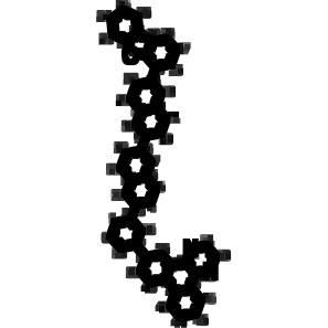 c1cc(-c2ccc3cc(-c4ccc5cc(-c6cccc7c6oc6ccccc67)ccc5c4)ccc3c2)cc(-c2ccc3c4ccccc4c4nccnc4c3c2)c1